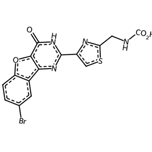 O=C(O)NCc1nc(-c2nc3c(oc4ccc(Br)cc43)c(=O)[nH]2)cs1